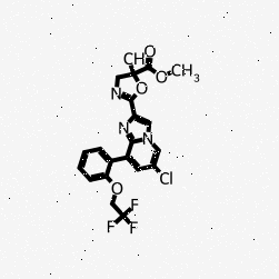 COC(=O)C1(C)CN=C(c2cn3cc(Cl)cc(-c4ccccc4OCC(F)(F)F)c3n2)O1